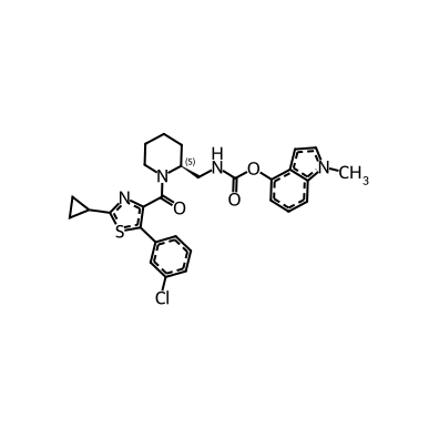 Cn1ccc2c(OC(=O)NC[C@@H]3CCCCN3C(=O)c3nc(C4CC4)sc3-c3cccc(Cl)c3)cccc21